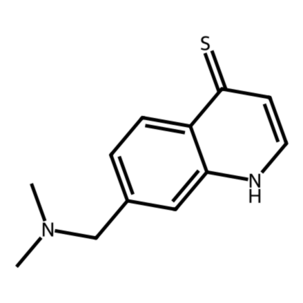 CN(C)Cc1ccc2c(=S)cc[nH]c2c1